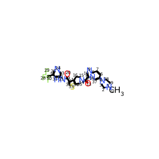 CN1CCN(c2ccc3ncc(C(=O)N4CCc5c(C(=O)Nc6cncc(C(F)(F)F)c6)csc5C4)n3c2)CC1